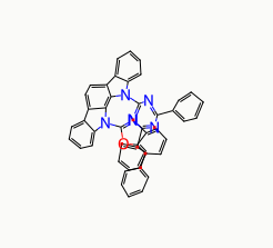 c1ccc(-c2nc(-c3ccccc3)nc(-n3c4ccccc4c4ccc5c6ccccc6n(-c6nc7cccc(-c8ccccc8)c7o6)c5c43)n2)cc1